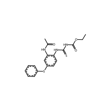 CCOC(=O)NC(=S)Nc1ccc(Sc2ccccc2)cc1NC(C)=O